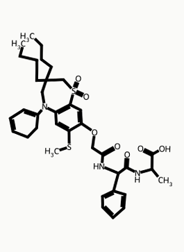 CCCCC1(CCCC)CN(C2=CC=CCC2)c2cc(SC)c(OCC(=O)NC(C(=O)NC(C)C(=O)O)c3ccccc3)cc2S(=O)(=O)C1